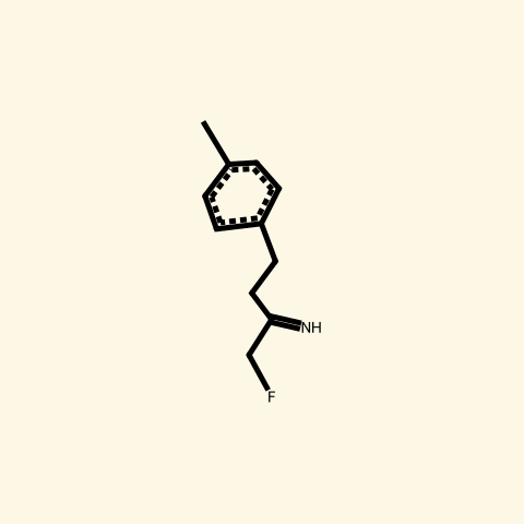 Cc1ccc(CCC(=N)CF)cc1